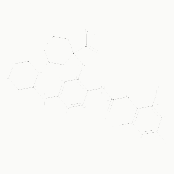 NC(=O)C1(Nc2nc(NC3CCOCC3)ncc2NC(=S)Nc2c(F)cc(Cl)cc2F)CCCCC1